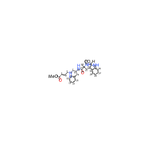 COC(=O)C=CCNCC(Cc1ccccc1)NC(=O)C(C)(Cc1c[nH]c2ccccc12)NC(=O)O